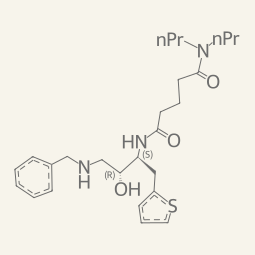 CCCN(CCC)C(=O)CCCC(=O)N[C@@H](Cc1cccs1)[C@H](O)CNCc1ccccc1